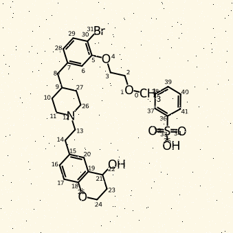 COCCOc1cc(CC2CCN(CCc3ccc4c(c3)C(O)CCO4)CC2)ccc1Br.O=S(=O)(O)c1ccccc1